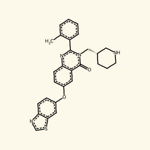 Cc1ccccc1-c1nc2ccc(Oc3ccc4ncsc4c3)cc2c(=O)n1C[C@H]1CCCNC1